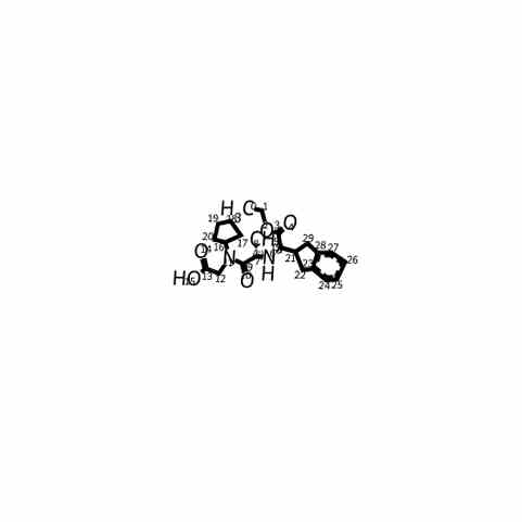 CCOC(=O)[C@@H](N[C@@H](C)C(=O)N(CC(=O)O)C1CCCC1)C1Cc2ccccc2C1